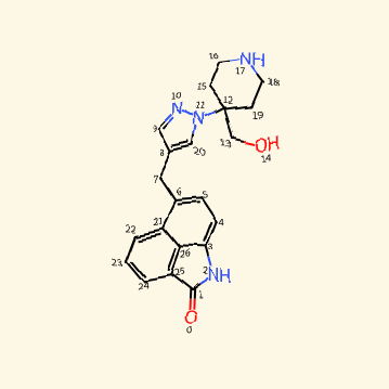 O=C1Nc2ccc(Cc3cnn(C4(CO)CCNCC4)c3)c3cccc1c23